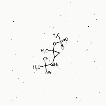 CCCC(C)(C)[SiH2]C1CC1(C)OS(C)(=O)=O